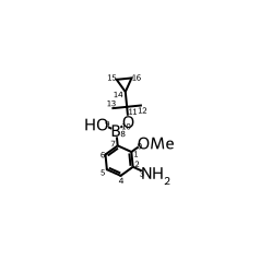 COc1c(N)cccc1B(O)OC(C)(C)C1CC1